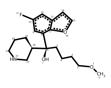 COCCCC[C@@](O)(c1cc(F)cc2ccoc12)[C@@H]1CCCNC1